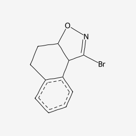 BrC1=NOC2CCc3ccccc3C12